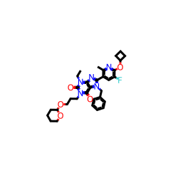 CCn1c(=O)n(CCCOC2CCCCO2)c(=O)c2c1nc(-c1cc(F)c(OC3CCC3)nc1C)n2Cc1ccccc1